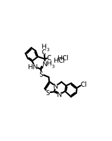 CC1(C)N=C(SCC2=CSC3=Nc4ccc(Cl)cc4CN23)Nc2ccccc21.Cl.Cl